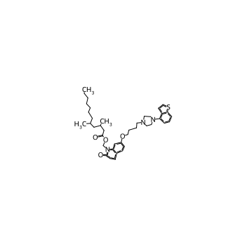 CCCCCCCC(C)CC(C)CC(=O)OCn1c(=O)ccc2ccc(OCCCCN3CCN(c4cccc5sccc45)CC3)cc21